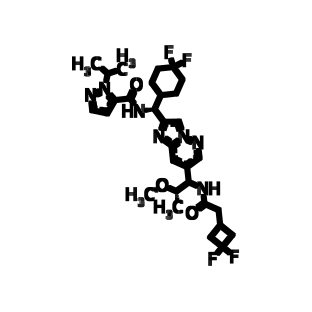 CO[C@@H](C)C(NC(=O)CC1CC(F)(F)C1)c1cnn2cc([C@@H](NC(=O)c3ccnn3C(C)C)C3CCC(F)(F)CC3)nc2c1